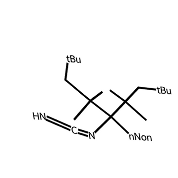 CCCCCCCCCC(N=C=N)(C(C)(C)CC(C)(C)C)C(C)(C)CC(C)(C)C